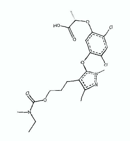 CCN(C)C(=O)OCCCc1c(C)nn(C)c1Oc1cc(O[C@@H](C)C(=O)O)c(Cl)cc1Cl